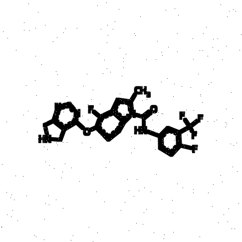 Cc1cc2c(F)c(Oc3ncnc4c3CNC4)ccc2n1C(=O)Nc1ccc(F)c(C(F)(F)F)c1